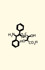 NC(c1ccccc1)C(N)c1ccccc1.O=C(O)[C@@H](O)[C@H](O)C(=O)O